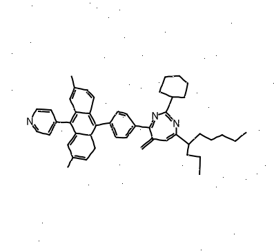 C=C1C=C(C(CCC)CCCCC)N=C(C2CCCCC2)N=C1c1ccc(C2=c3ccc(C)cc3=C(c3ccncc3)C3=CC(C)=CCC32)cc1